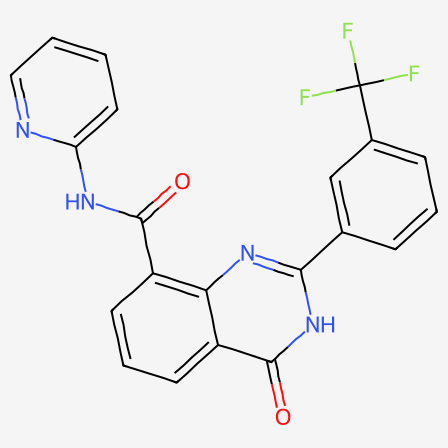 O=C(Nc1ccccn1)c1cccc2c(=O)[nH]c(-c3cccc(C(F)(F)F)c3)nc12